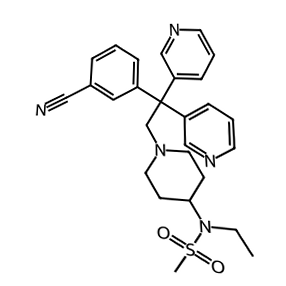 CCN(C1CCN(CC(c2cccnc2)(c2cccnc2)c2cccc(C#N)c2)CC1)S(C)(=O)=O